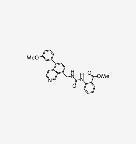 COC(=O)c1ccccc1NC(=O)NCc1ccc(-c2cccc(OC)c2)c2ccncc12